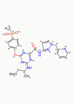 COCC(C)Nc1nc(Oc2ccc(S(C)(=O)=O)cc2)nc(C(=O)Nc2ccn(Cc3ccccn3)n2)n1